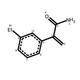 C=C(C(N)=O)c1cccc(CC)c1